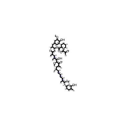 COC1CC(CC(C)[C@H](CC(=O)C(C)/C=C(\C)[C@@H](O)C(OC)C(=O)C(C)C[C@H](C)/C=C/C=C/C=C(\C)[C@H](C[C@@H]2CCC(C)C(O)O2)OC)OC(=O)C2CCCCN2C(=O)C(C)=O)CC[C@H]1O